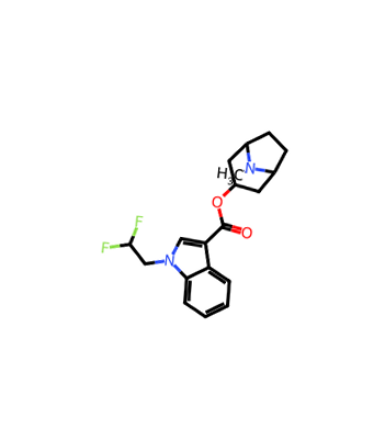 CN1C2CCC1CC(OC(=O)c1cn(CC(F)F)c3ccccc13)C2